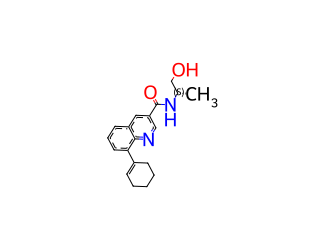 C[C@@H](CO)NC(=O)c1cnc2c(C3=CCCCC3)cccc2c1